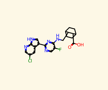 O=C(O)C1C2CCC(CC2)C1CNc1nc(-c2c[nH]c3ncc(Cl)cc23)ncc1F